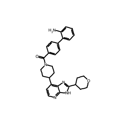 Nc1ccccc1-c1ccc(C(=O)N2CCC(c3ccnc4[nH]c(C5CCOCC5)nc34)CC2)cc1